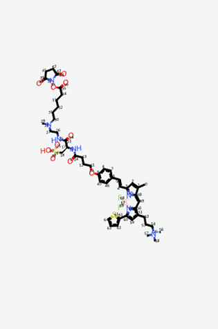 CC1=CC(/C=C/c2ccc(OCCCC(=O)N[C@@H](CS(=O)(=O)O)C(=O)NCCN(C)CCCCCC(=O)ON3C(=O)CCC3=O)cc2)=[N+]2C1=Cc1c(CCC[N+](C)(C)C)cc(-c3cccs3)n1[B-]2(F)F